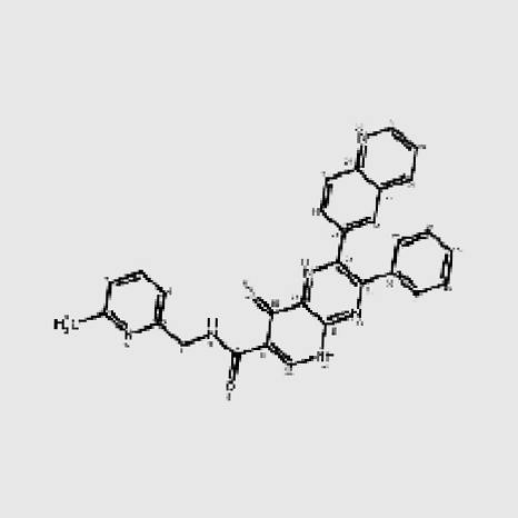 Cc1cccc(CNC(=O)c2c[nH]c3nc(-c4ccccc4)c(-c4ccc5ncccc5c4)nc3c2=O)n1